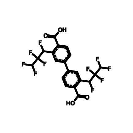 O=C(O)c1ccc(-c2ccc(C(=O)O)c(C(F)C(F)(F)C(F)F)c2)cc1C(F)C(F)(F)C(F)F